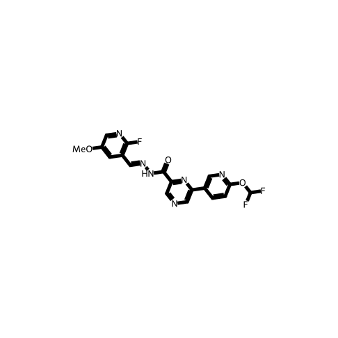 COc1cnc(F)c(/C=N/NC(=O)c2cncc(-c3ccc(OC(F)F)nc3)n2)c1